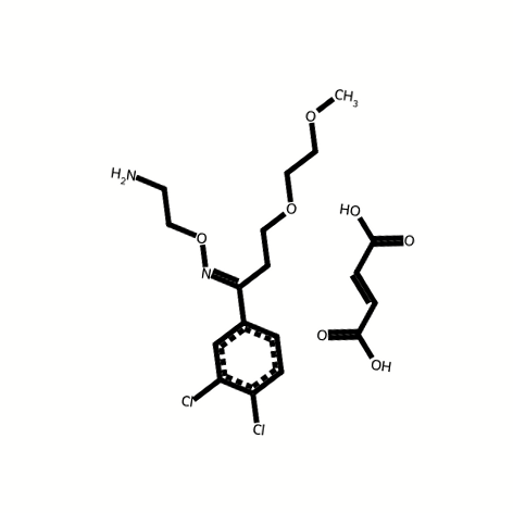 COCCOCCC(=NOCCN)c1ccc(Cl)c(Cl)c1.O=C(O)C=CC(=O)O